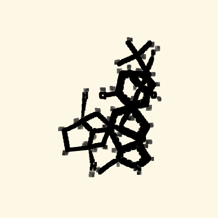 Cn1ncc2cc(S(=O)(=O)CC(C)(C)C)cc(N3[C@@H]4CC[C@H]3CN(C(=O)c3ccc(F)cc3Cl)C4)c21